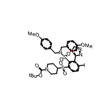 COc1ccc(CN(Cc2ccc(OC)cc2)S(=O)(=O)c2c(S(=O)(=O)C3CCN(C(=O)OC(C)(C)C)CC3)ccc(I)c2C2=NCN=N2)cc1